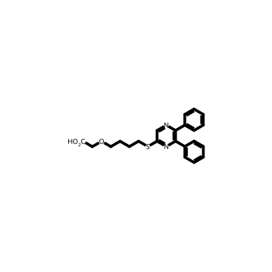 O=C(O)COCCCCSc1cnc(-c2ccccc2)c(-c2ccccc2)n1